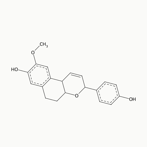 COc1cc2c(cc1O)CCC1OC(c3ccc(O)cc3)C=CC21